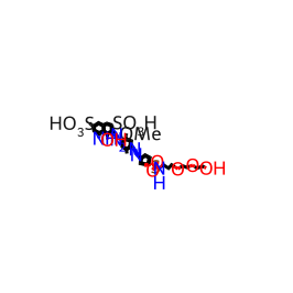 COc1cc(N=Nc2ccc(S(=O)(=O)NCCCOCCOCCO)cc2)c(C)cc1N=Nc1c(S(=O)(=O)O)cc2cc(S(=O)(=O)O)cc(N)c2c1O